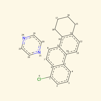 Clc1cccc2c1ccc1c3c(ccc12)CCCC3.c1cnccn1